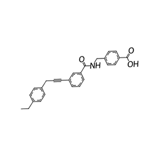 CCc1ccc(CC#Cc2cccc(C(=O)NCc3ccc(C(=O)O)cc3)c2)cc1